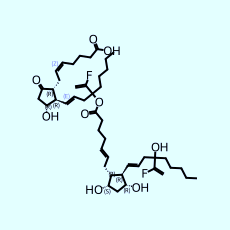 C=C(F)C(O)(CC=C[C@@H]1[C@@H](CC=CCCCC(=O)OC(C/C=C/[C@H]2[C@H](O)CC(=O)[C@@H]2C/C=C\CCCC(=O)O)(CCCCC)C(=C)F)[C@@H](O)C[C@H]1O)CCCCC